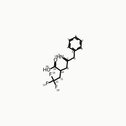 N=C(Cc1ccccc1)CC(CC(F)(F)F)C(=O)O